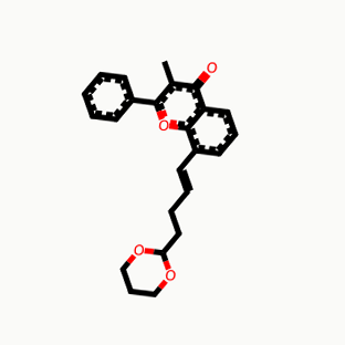 Cc1c(-c2ccccc2)oc2c(C=CCCC3OCCCO3)cccc2c1=O